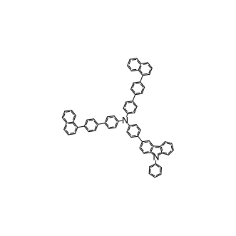 c1ccc(-n2c3ccccc3c3cc(-c4ccc(N(c5ccc(-c6ccc(-c7cccc8ccccc78)cc6)cc5)c5ccc(-c6ccc(-c7cccc8ccccc78)cc6)cc5)cc4)ccc32)cc1